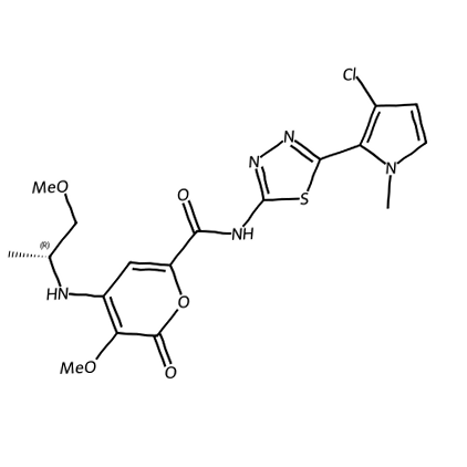 COC[C@@H](C)Nc1cc(C(=O)Nc2nnc(-c3c(Cl)ccn3C)s2)oc(=O)c1OC